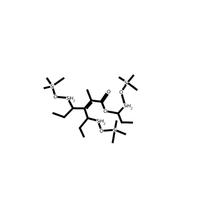 CCC(OC(=O)C(C)=C(C(CC)[SiH2]O[Si](C)(C)C)C(CC)[SiH2]O[Si](C)(C)C)[SiH2]O[Si](C)(C)C